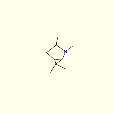 CC1CC2C(N1C)C2(C)C